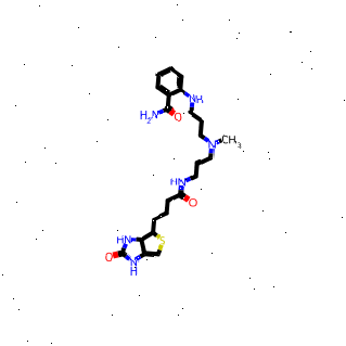 CN(CCCNC(=O)CCCC1SCC2NC(=O)NC21)CCCNc1ccccc1C(N)=O